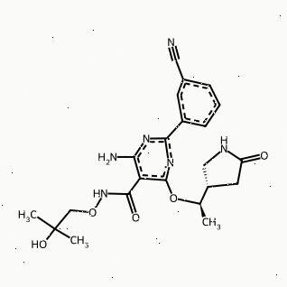 C[C@@H](Oc1nc(-c2cccc(C#N)c2)nc(N)c1C(=O)NOCC(C)(C)O)[C@@H]1CNC(=O)C1